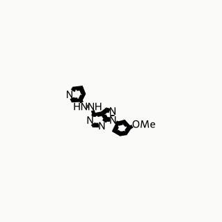 COc1cccc(-n2ncc3c(NNc4cccnc4)ncnc32)c1